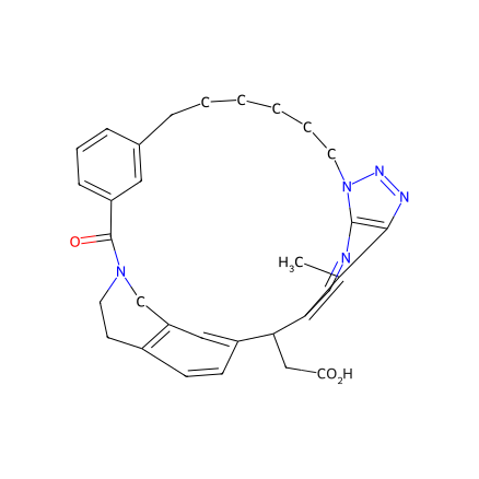 Cc1c2cnc3c1nnn3CCCCCCc1cccc(c1)C(=O)N1CCc3ccc(cc3C1)C2CC(=O)O